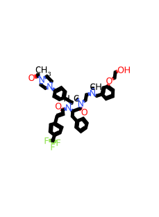 CC(=O)N1CCN(c2ccc(CN(C(=O)C=Cc3ccc(C(F)(F)F)cc3)C(Cc3ccccc3)C(=O)N(C)CCN(C)Cc3cccc(OCCO)c3)cc2)CC1